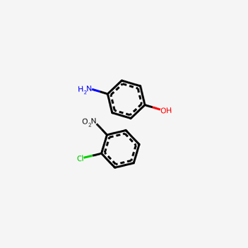 Nc1ccc(O)cc1.O=[N+]([O-])c1ccccc1Cl